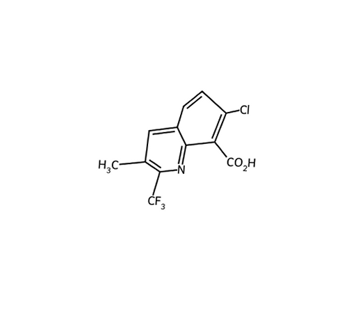 Cc1cc2ccc(Cl)c(C(=O)O)c2nc1C(F)(F)F